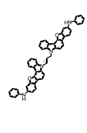 C(=C\n1c2ccccc2c2c3oc4cc(Nc5ccccc5)ccc4c3ccc21)/Cn1c2ccccc2c2c3oc4cc(Nc5ccccc5)ccc4c3ccc21